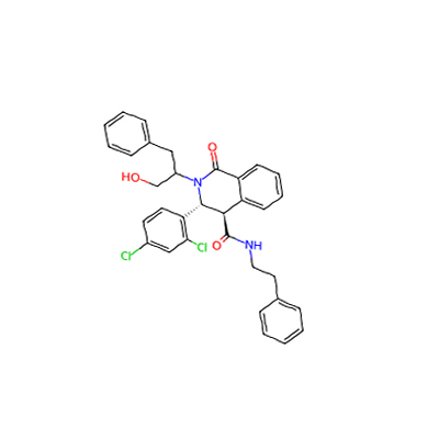 O=C(NCCc1ccccc1)[C@@H]1c2ccccc2C(=O)N(C(CO)Cc2ccccc2)[C@H]1c1ccc(Cl)cc1Cl